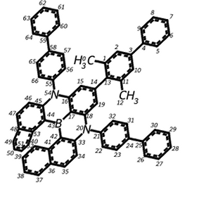 Cc1cc(-c2ccccc2)cc(C)c1-c1cc2c3c(c1)N(c1ccc(-c4ccccc4)cc1)c1ccc4ccccc4c1B3c1c(ccc3ccccc13)N2c1ccc(-c2ccccc2)cc1